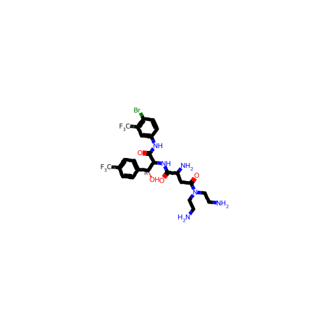 NCCN(CCN)C(=O)CC(N)C(=O)NC(C(=O)Nc1ccc(Br)c(C(F)(F)F)c1)[C@H](O)c1ccc(C(F)(F)F)cc1